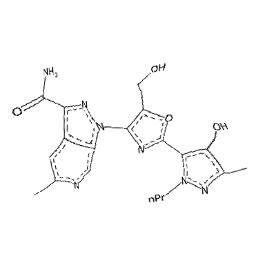 CCCn1nc(C)c(O)c1-c1nc(-n2nc(C(N)=O)c3cc(C)ncc32)c(CO)o1